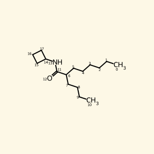 CCCCCCC(CCCC)C(=O)NC1CCC1